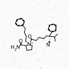 CC(C)[C@@](C#N)(CCCCC(=O)[N@+]1(CCCCc2ccccc2)CCCC1C(N)=O)c1ccccc1